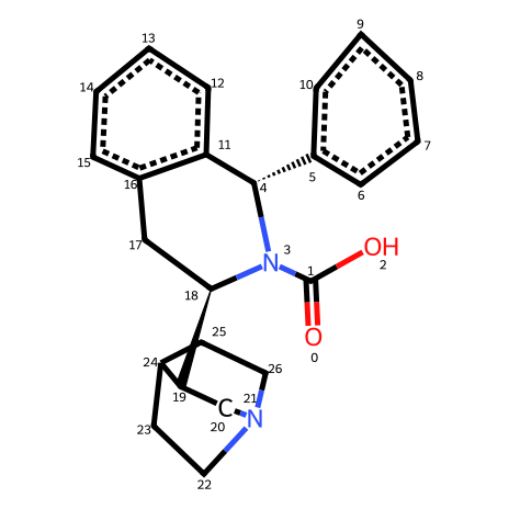 O=C(O)N1[C@@H](c2ccccc2)c2ccccc2C[C@@H]1C1CN2CCC1CC2